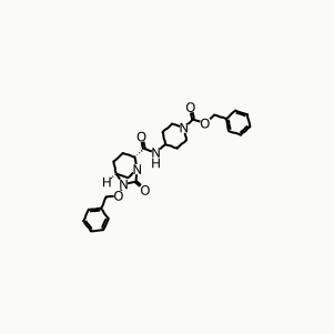 O=C(NC1CCN(C(=O)OCc2ccccc2)CC1)[C@H]1CC[C@H]2CN1C(=O)N2OCc1ccccc1